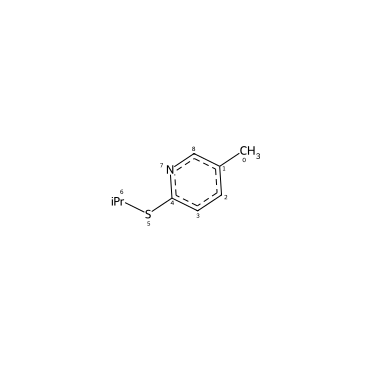 Cc1ccc(SC(C)C)nc1